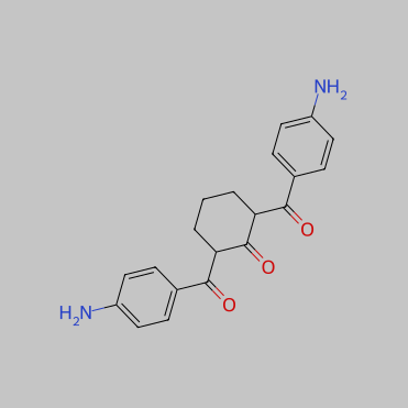 Nc1ccc(C(=O)C2CCCC(C(=O)c3ccc(N)cc3)C2=O)cc1